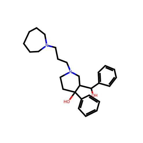 OC(c1ccccc1)C1CN(CCCN2CCCCCC2)CCC1(O)c1ccccc1